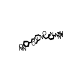 O=C(Cc1ccc(-n2cnnn2)nc1)N1CCN2CC(c3ccc4onnc4c3)OCC2C1